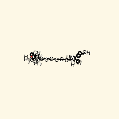 C[C@@H]1CCCN1C(=O)C(NC(=O)COCCOCCOCCOCCOCCOCCCN/C(=C(\C=N)c1ccc2c(c1)CC/C2=C\O)c1ccncc1)C(C)(C)C